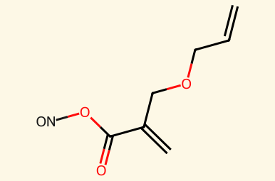 C=CCOCC(=C)C(=O)ON=O